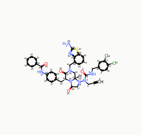 C#CCN(C(=O)NCc1ccc(Cl)c(Cl)c1)N1CC(=O)N2[C@@H](Cc3ccc(NC(=O)c4ccccc4)cc3)C(=O)N(Cc3cccc4sc(N)nc34)C[C@@H]21